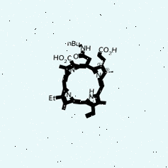 C=Cc1c(C)c2cc3nc(c(CC(=O)NCCCC)c4[nH]c(cc5nc(cc1[nH]2)C(C)=C5CC)c(C)c4C(=O)O)[C@@H](CCC(=O)O)[C@@H]3C